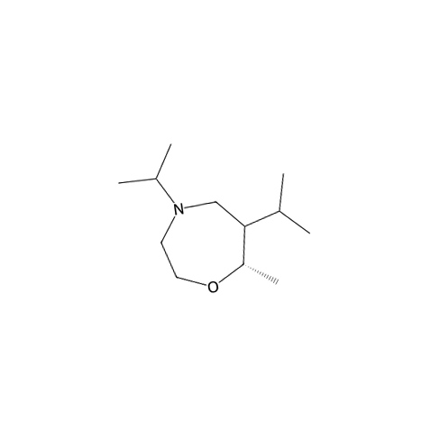 CC(C)C1CN(C(C)C)CCO[C@H]1C